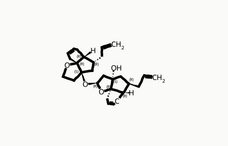 C=CC[C@@H]1C[C@]2(O)C[C@H](O[C@@]34CCO[C@@]35CC=CC[C@@H]5[C@H](CC=C)C4)O[C@@]23CC=CC[C@H]13